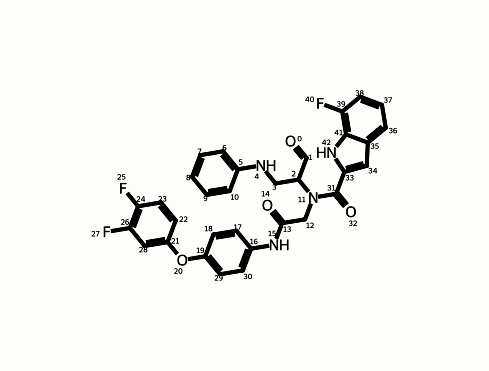 O=CC(CNc1ccccc1)N(CC(=O)Nc1ccc(Oc2ccc(F)c(F)c2)cc1)C(=O)c1cc2cccc(F)c2[nH]1